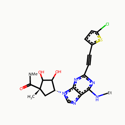 CCNc1nc(C#Cc2ccc(Cl)s2)nc2c1ncn2[C@@H]1C[C@](C)(C(=O)NC)C(O)C1O